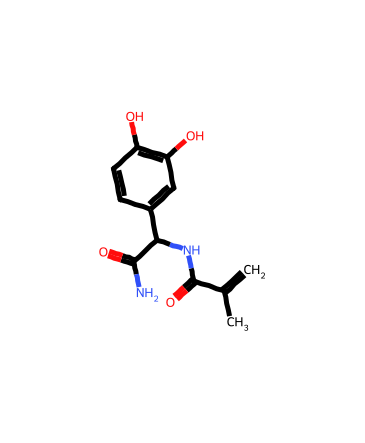 C=C(C)C(=O)NC(C(N)=O)c1ccc(O)c(O)c1